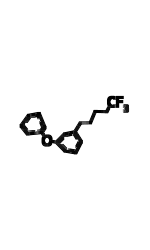 FC(F)(F)CCCCc1cccc(Oc2ccccc2)c1